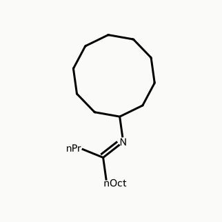 CCCCCCCCC(CCC)=NC1CCCCCCCCC1